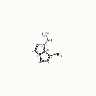 CNn1cnc2ncc(N)n21